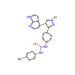 CCn1cc(-c2ccnc3[nH]ccc23)c(-c2ccc(NC(O)Nc3ccc(C#N)cc3)cc2)n1